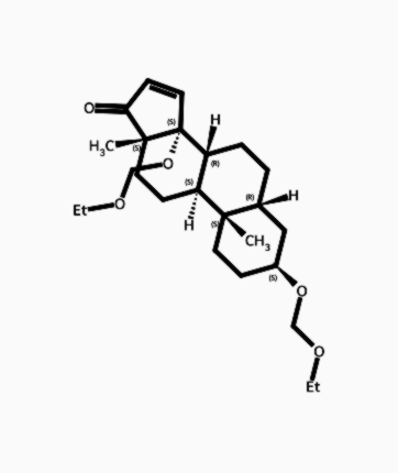 CCOCO[C@H]1CC[C@@]2(C)[C@H](CC[C@@H]3[C@@H]2CC[C@]2(C)C(=O)C=C[C@@]32OCOCC)C1